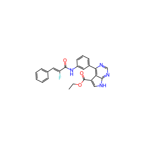 CCOC(=O)c1c[nH]c2ncnc(-c3cccc(NC(=O)/C(F)=C/c4ccccc4)c3)c12